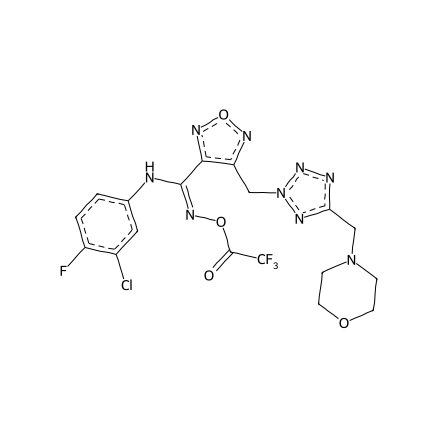 O=C(ON=C(Nc1ccc(F)c(Cl)c1)c1nonc1Cn1nnc(CN2CCOCC2)n1)C(F)(F)F